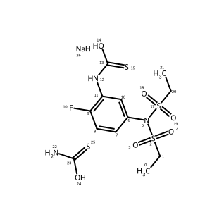 CCS(=O)(=O)N(c1ccc(F)c(NC(O)=S)c1)S(=O)(=O)CC.NC(O)=S.[NaH]